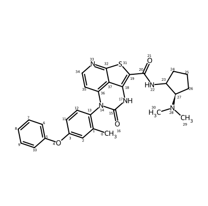 Cc1cc(Oc2ccccc2)ccc1N1C(=O)Nc2c(C(=O)NC3CCC[C@H]3N(C)C)sc3nccc1c23